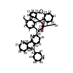 Cc1ccc2c(c1)C1(c3ccccc3Oc3ccccc31)c1cc(C)ccc1N2c1ccc2c(n1)c1ncccc1n2-c1cccnc1